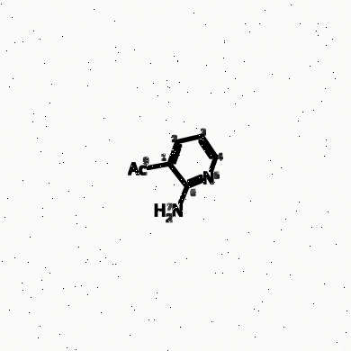 CC(=O)c1cccnc1N